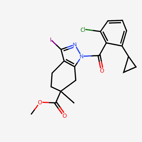 COC(=O)C1(C)CCc2c(I)nn(C(=O)c3c(Cl)cccc3C3CC3)c2C1